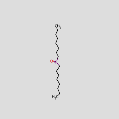 CCCCCCCC[P](=O)CCCCCCCC